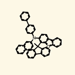 CC1(c2c(N(c3ccc(-c4ccccc4)cc3)c3ccc4ccccc4c3)ccc3c2oc2ccccc23)c2ccccc2-c2ccccc21